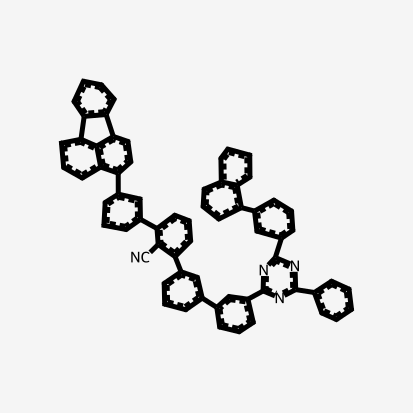 N#Cc1c(-c2cccc(-c3cccc(-c4nc(-c5ccccc5)nc(-c5cccc(-c6cccc7ccccc67)c5)n4)c3)c2)cccc1-c1cccc(-c2ccc3c4c(cccc24)-c2ccccc2-3)c1